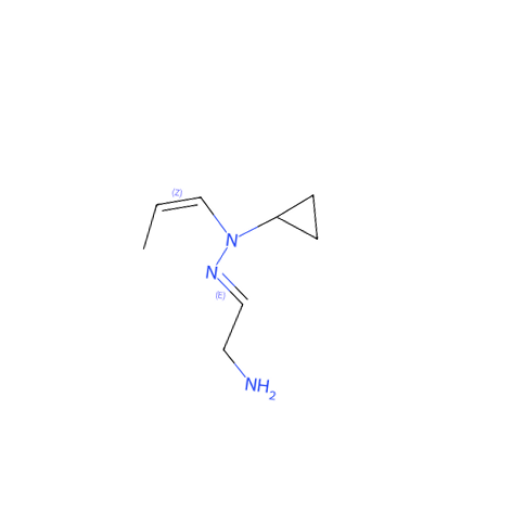 C/C=C\N(/N=C/CN)C1CC1